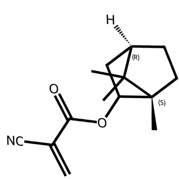 C=C(C#N)C(=O)OC1C[C@H]2CC[C@@]1(C)C2(C)C